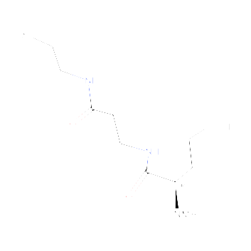 CN[C@H](CCC(=O)O)C(=O)NCCC(=O)NCCC(C)=O